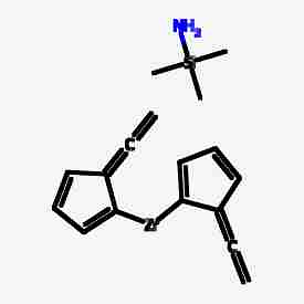 C=C=C1C=CC=[C]1[Zr][C]1=CC=CC1=C=C.C[Si](C)(C)N